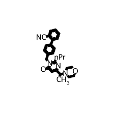 CCCc1nc(C(C)N2CCOCC2)cc(=O)n1Cc1ccc(-c2ccccc2C#N)cc1